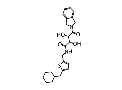 O=C(NCc1ccc(CC2CCCCC2)s1)[C@H](O)[C@@H](O)C(=O)N1Cc2ccccc2C1